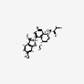 CCC(=O)N[C@@H]1CCCc2c1cncc2N1C(=O)c2ccc(Cl)cc2[C@H]1CC